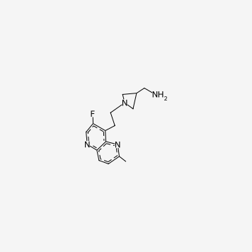 Cc1ccc2ncc(F)c(CCN3CC(CN)C3)c2n1